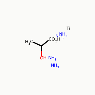 CC(O)C(=O)O.N.N.N.N.[Ti]